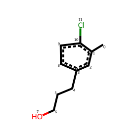 Cc1cc(CCCO)ccc1Cl